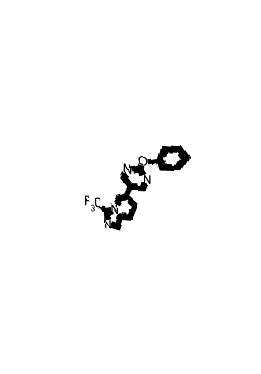 FC(F)(F)c1ncc2ccc(-c3cnc(Oc4ccccc4)nc3)cn12